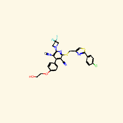 [C-]#[N+]c1c(N2CC(F)(F)C2)nc(SCc2csc(-c3ccc(Cl)cc3)n2)c(C#N)c1-c1ccc(OCCO)cc1